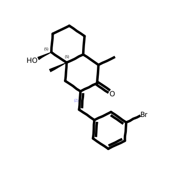 CC1C(=O)/C(=C\c2cccc(Br)c2)C[C@@]2(C)C1CCC[C@@H]2O